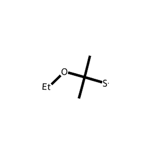 CCOC(C)(C)[S]